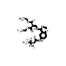 CCOC(=O)C(=CNc1ncnc2ccc(NC(=O)CC(C)(C)C)cc12)C(=O)OCC